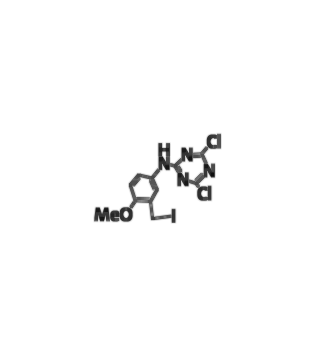 COc1ccc(Nc2nc(Cl)nc(Cl)n2)cc1CI